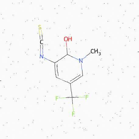 CN1C=C(C(F)(F)F)C=C(N=C=S)C1O